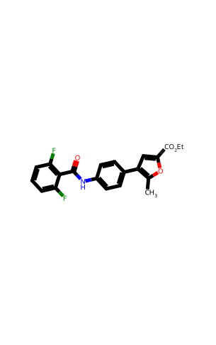 CCOC(=O)c1cc(-c2ccc(NC(=O)c3c(F)cccc3F)cc2)c(C)o1